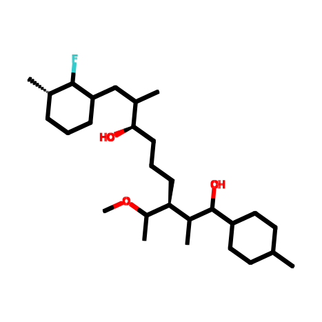 COC(C)[C@@H](CCC[C@@H](O)C(C)CC1CCC[C@H](C)C1F)C(C)C(O)C1CCC(C)CC1